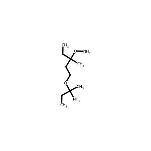 CCC(C)(N)OCCC(C)(CC)ON